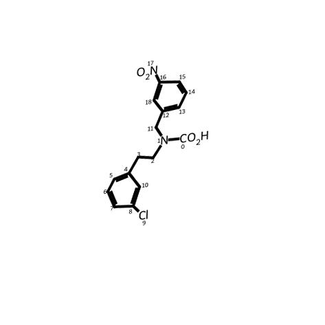 O=C(O)N(CCc1cccc(Cl)c1)Cc1cccc([N+](=O)[O-])c1